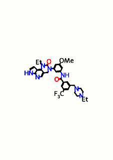 CCN1CCN(Cc2cc(C(=O)Nc3cc(OC)cc(N4Cc5cnc6[nH]ccc6c5N(CC)C4=O)c3)cc(C(F)(F)F)c2)CC1